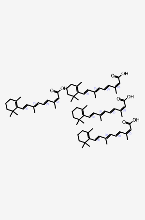 CC1=C(/C=C/C(C)=C/C=C/C(C)=C\C(=O)O)C(C)(C)CCC1.CC1=C(/C=C/C(C)=C/C=C/C(C)=C\C(=O)O)C(C)(C)CCC1.CC1=C(/C=C/C(C)=C/C=C/C(C)=C\C(=O)O)C(C)(C)CCC1.CC1=C(/C=C/C(C)=C/C=C/C(C)=C\C(=O)O)C(C)(C)CCC1